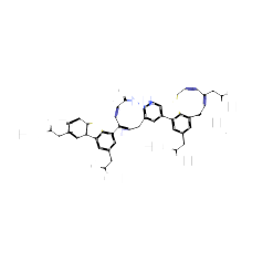 C=C1/C=C\C(c2cc(CC(C)C)cc3c2SC2C=CC(CC(C)C)=CC32)=C/Cc2cc(-c3cc(CC(C)C)cc4c3SC/C=C\C(CC(C)C)=C/C4=C)ccc2N1